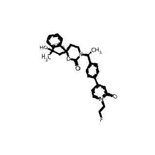 C[C@@H](c1ccc(-c2ccn(CCF)c(=O)c2)cc1)N1CCC(CC(C)(C)O)(c2ccccc2)OC1=O